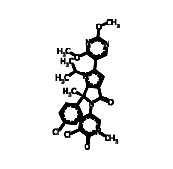 COc1ncc(-c2cc3c(n2C(C)C)[C@@](C)(c2ccc(Cl)cc2)N(c2cc(Cl)c(=O)n(C)c2)C3=O)c(OC)n1